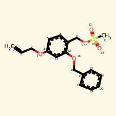 C=CCOc1ccc(COS(C)(=O)=O)c(OCc2ccccc2)c1